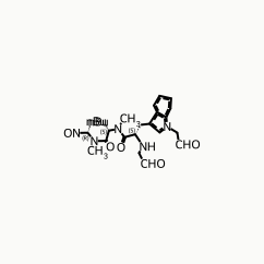 CCCC[C@@H](N=O)N(C)C(=O)[C@H](CCCC)N(C)C(=O)[C@H](Cc1cn(CC=O)c2ccccc12)NCC=O